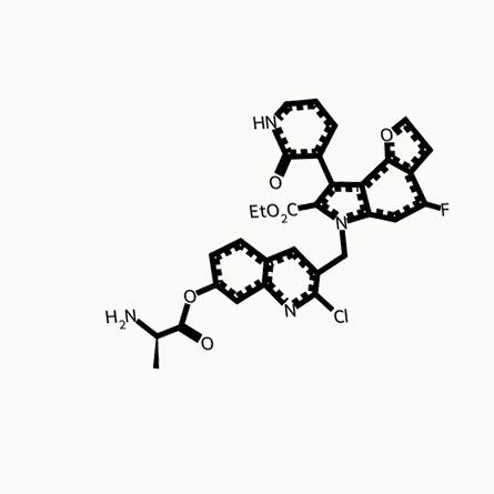 CCOC(=O)c1c(-c2ccc[nH]c2=O)c2c3occc3c(F)cc2n1Cc1cc2ccc(OC(=O)[C@@H](C)N)cc2nc1Cl